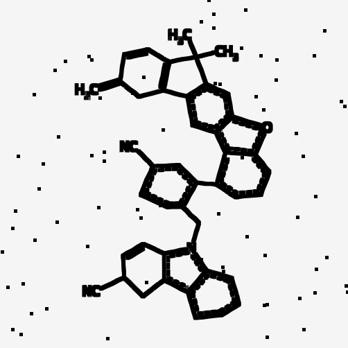 C=C1C=CC2=C(C1)c1cc3c(cc1C2(C)C)oc1cccc(-c2cc(C#N)ccc2Cn2c4c(c5ccccc52)CC(C#N)C=C4)c13